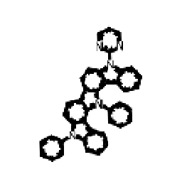 c1ccc(-n2c3ccccc3c3c2ccc2c4ccc5c(c6ccccc6n5-c5ncccn5)c4n(-c4ccccc4)c23)cc1